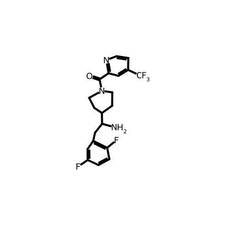 NC(Cc1cc(F)ccc1F)C1CCN(C(=O)c2cc(C(F)(F)F)ccn2)CC1